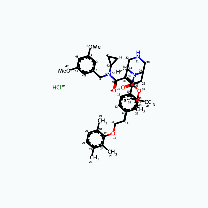 COc1cc(CN(C(=O)C2=C(c3ccc(CCOc4c(C)ccc(C)c4C)cc3)CC3CNC[C@H]2N3C(=O)OC(C)(C)C(Cl)(Cl)Cl)C2CC2)cc(OC)c1.Cl